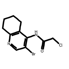 O=C(CCl)Nc1c(Br)cnc2c1CCCC2